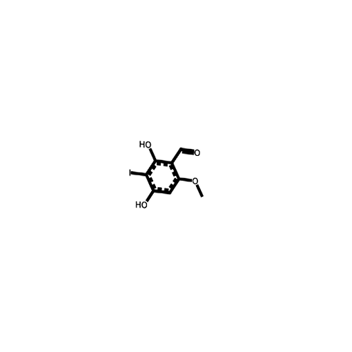 COc1cc(O)c(I)c(O)c1C=O